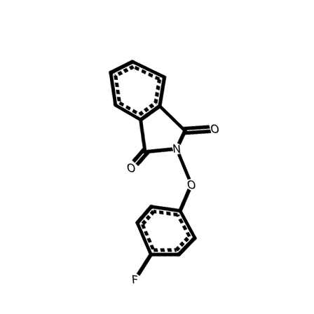 O=C1c2ccccc2C(=O)N1Oc1ccc(F)cc1